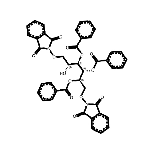 O=C(O[C@@H]([C@H](OC(=O)c1ccccc1)[C@@H](CON1C(=O)c2ccccc2C1=O)OC(=O)c1ccccc1)[C@H](O)CON1C(=O)c2ccccc2C1=O)c1ccccc1